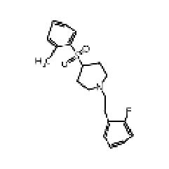 Cc1ccccc1S(=O)(=O)C1CCN(CCc2ccccc2F)CC1